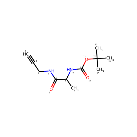 C#CCNC(=O)C(C)NC(=O)OC(C)(C)C